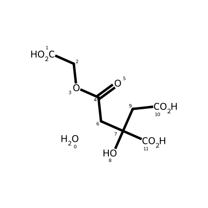 O.O=C(O)COC(=O)CC(O)(CC(=O)O)C(=O)O